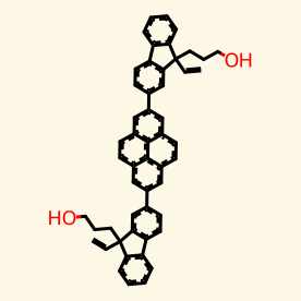 C=CC1(CCCO)c2ccccc2-c2ccc(-c3cc4ccc5cc(-c6ccc7c(c6)C(C=C)(CCCO)c6ccccc6-7)cc6ccc(c3)c4c56)cc21